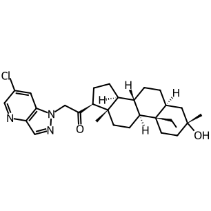 CC[C@]12CC[C@@](C)(O)C[C@@H]1CC[C@H]1[C@@H]3CC[C@H](C(=O)Cn4ncc5ncc(Cl)cc54)[C@@]3(C)CC[C@@H]12